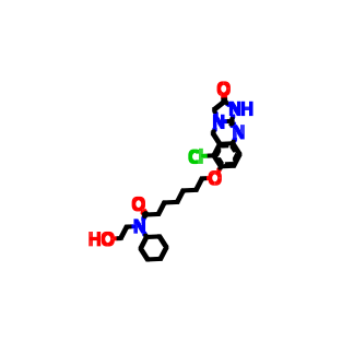 O=C1CN2Cc3c(ccc(OCCCCCCC(=O)N(CCO)C4CCCCC4)c3Cl)N=C2N1